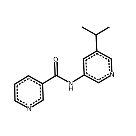 CC(C)c1cncc(NC(=O)c2cccnc2)c1